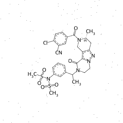 CC(c1cccc(N(S(C)(=O)=O)S(C)(=O)=O)c1)N1CCn2nc3c(c2C1=O)CN(C(=O)c1ccc(Cl)c(C#N)c1)[C@H](C)C3